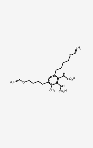 C=COCCCCc1cc(CCCCOC=C)c(NC(=O)O)c(NC(=O)O)c1C